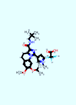 COc1cc2c(cc1OC(C)C)-n1c(-c3ccn(C)c3)nc(C(=O)NCC(C)(C)C)c1CC2.O=C(O)C(F)(F)F